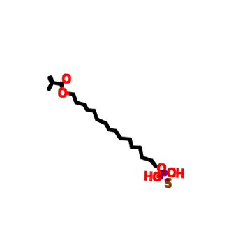 C=C(C)C(=O)OCCCCCCCCCCCCCCCCOP(O)(O)=S